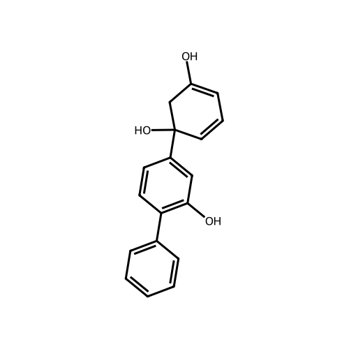 OC1=CC=CC(O)(c2ccc(-c3ccccc3)c(O)c2)C1